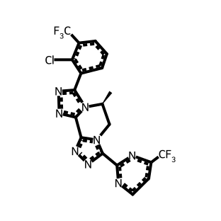 C[C@H]1Cn2c(-c3nccc(C(F)(F)F)n3)nnc2-c2nnc(-c3cccc(C(F)(F)F)c3Cl)n21